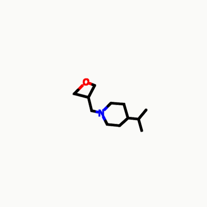 CC(C)C1CCN(CC2COC2)CC1